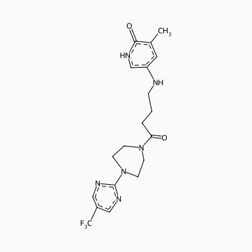 Cc1cc(NCCCC(=O)N2CCN(c3ncc(C(F)(F)F)cn3)CC2)c[nH]c1=O